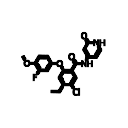 CCc1cc(Oc2ccc(OC)c(F)c2)c(C(=O)Nc2cc[nH]c(=O)c2)cc1Cl